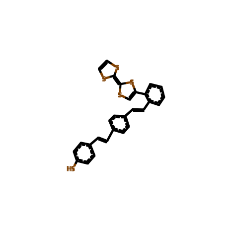 Sc1ccc(C=Cc2ccc(C=Cc3ccccc3C3=CSC(=C4SC=CS4)S3)cc2)cc1